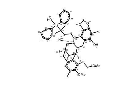 COCOc1c(OC)c(C)cc2c1[C@@H]1C3Cc4c(O)c(C)c5c(c4[C@H](CCC(C)(C)[Si](O)(c4ccccc4)c4ccccc4)N3[C@@H](C#N)[C@H](C2)N1C)OCO5